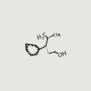 C[C@@H](C#N)[C@H](CCO)c1ccccc1